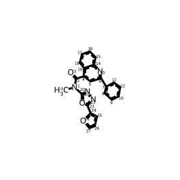 CN(C(=O)c1cc(-c2ccccc2)nc2ccccc12)c1nnc(-c2ccco2)o1